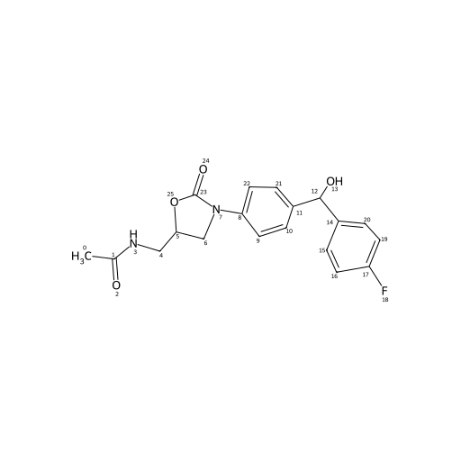 CC(=O)NCC1CN(c2ccc(C(O)c3ccc(F)cc3)cc2)C(=O)O1